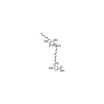 CC(/C=C/C=C/C(=O)O[C@@H]1CC(C(=O)O)=CC[C@@H]1O)=C\C=C\C=C(/Cl)[C@@H](C)[C@@H](O)[C@H](O)[C@H](O)C[C@@H](O)/C=C/C=C/C(C)C